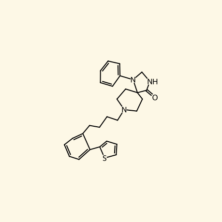 O=C1NCN(c2ccccc2)C12CCN(CCCCc1ccccc1-c1cccs1)CC2